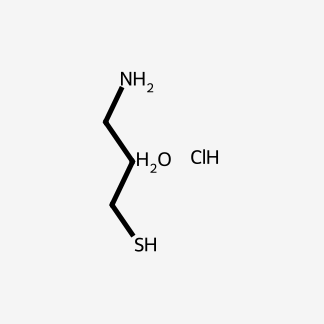 Cl.NCCCS.O